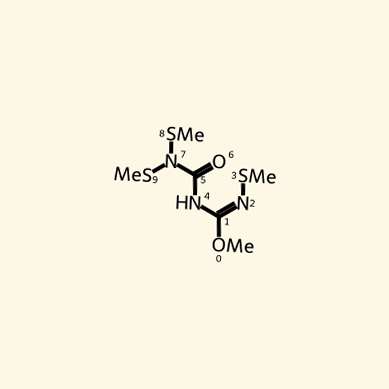 COC(=NSC)NC(=O)N(SC)SC